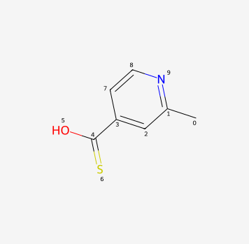 Cc1cc(C(O)=S)ccn1